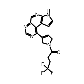 O=C(CCC(F)(F)F)N1CC=C(c2ncnc3cnc4[nH]ccc4c23)C1